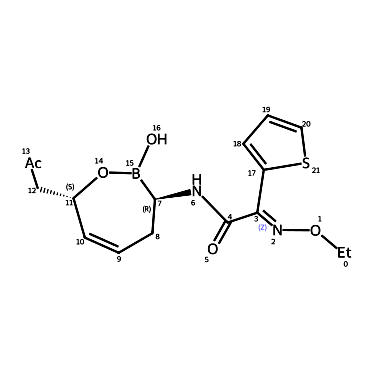 CCO/N=C(/C(=O)N[C@H]1CC=C[C@H](CC(C)=O)OB1O)c1cccs1